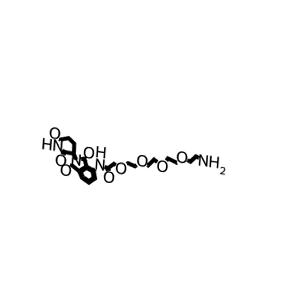 NCCOCCOCCOCCOCC(=O)Nc1cccc2c1C(=O)N(C1CCC(=O)NC1=O)C2=O